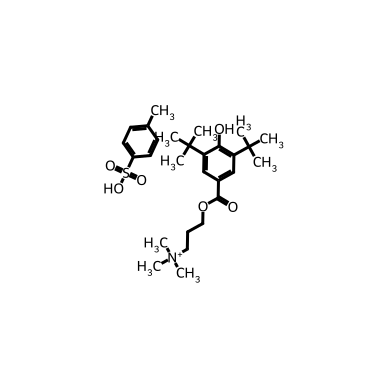 CC(C)(C)c1cc(C(=O)OCCC[N+](C)(C)C)cc(C(C)(C)C)c1O.Cc1ccc(S(=O)(=O)O)cc1